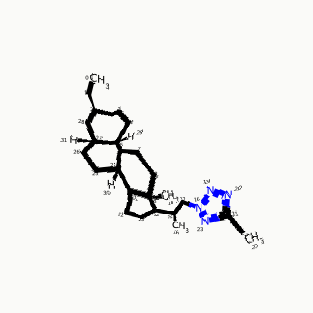 CC[C@H]1CC[C@@H]2C3CC[C@@]4(C)C(CCC4[C@H](C)Cn4nnc(C)n4)[C@@H]3CC[C@@H]2C1